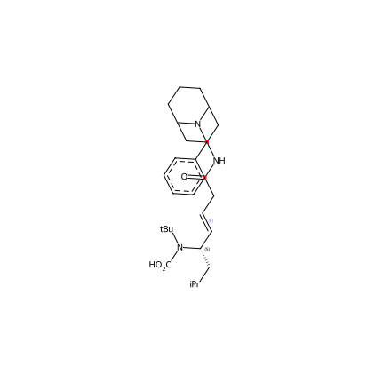 CC(C)C[C@@H](/C=C/CC(=O)NC1CC2CCCC(C1)N2Cc1ccccc1)N(C(=O)O)C(C)(C)C